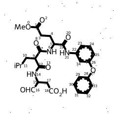 COC(=O)CCC(NC(=O)C(CC(C)C)C(=O)NC(C=O)CC(=O)O)C(=O)Nc1cccc(Oc2ccccc2)c1